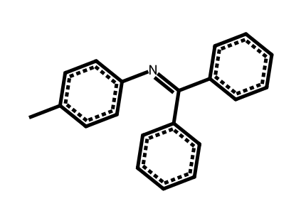 Cc1ccc(N=C(c2ccccc2)c2ccccc2)cc1